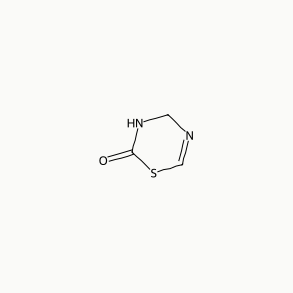 O=C1NCN=CS1